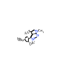 CC(=O)Oc1cc(C(C)(C)C)ccc1-c1ncnc2c1c(OC(C)=O)cn2C